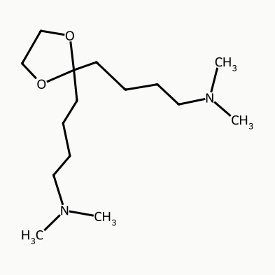 CN(C)CCCCC1(CCCCN(C)C)OCCO1